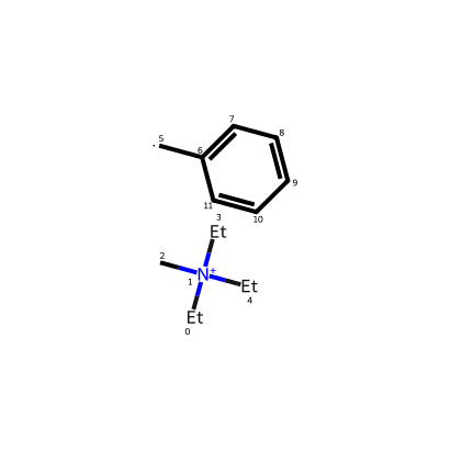 CC[N+](C)(CC)CC.[CH2]c1ccccc1